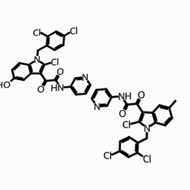 Cc1ccc2c(c1)c(C(=O)C(=O)Nc1cccnc1)c(Cl)n2Cc1ccc(Cl)cc1Cl.O=C(Nc1cccnc1)C(=O)c1c(Cl)n(Cc2ccc(Cl)cc2Cl)c2ccc(O)cc12